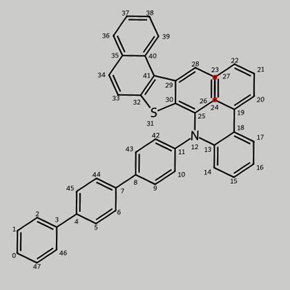 c1ccc(-c2ccc(-c3ccc(N(c4ccccc4-c4ccccc4)c4cccc5c4sc4ccc6ccccc6c45)cc3)cc2)cc1